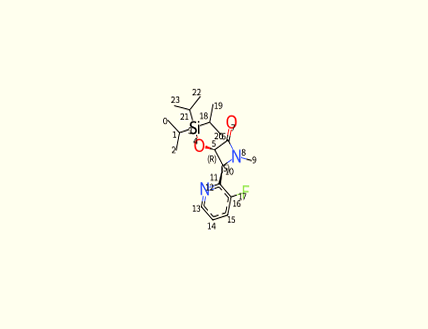 CC(C)[Si](O[C@H]1C(=O)N(C)[C@H]1c1ncccc1F)(C(C)C)C(C)C